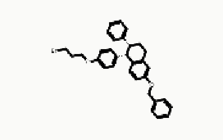 BrCCCOc1ccc([C@H]2c3ccc(OCc4ccccc4)cc3CC[C@H]2c2ccccc2)cc1